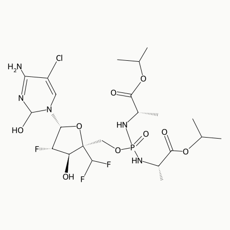 CC(C)OC(=O)[C@H](C)NP(=O)(N[C@@H](C)C(=O)OC(C)C)OC[C@@]1(C(F)F)O[C@@H](N2C=C(Cl)C(N)=NC2O)[C@@H](F)[C@@H]1O